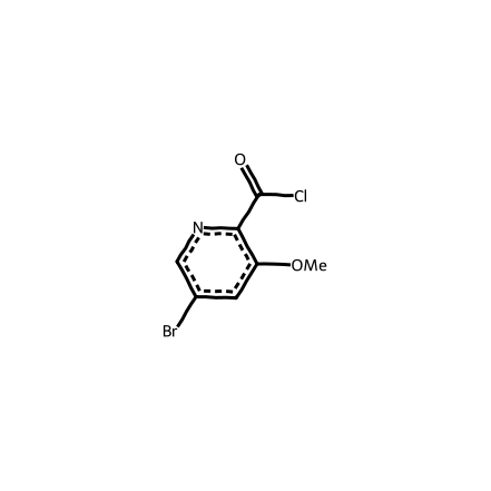 COc1cc(Br)cnc1C(=O)Cl